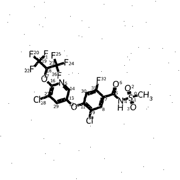 CS(=O)(=O)NC(=O)c1cc(Cl)c(Oc2cnc(OC(C(F)(F)F)C(F)(F)F)c(Cl)c2)cc1F